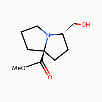 COC(=O)[C@@]12CCCN1[C@H](CO)CC2